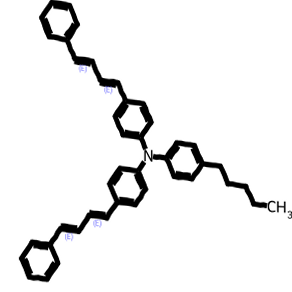 CCCCCc1ccc(N(c2ccc(/C=C/C=C/c3ccccc3)cc2)c2ccc(/C=C/C=C/c3ccccc3)cc2)cc1